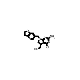 Nc1nc(Cl)c2c(n1)N(Cc1cnc3c(c1)OCC3)CC2CO